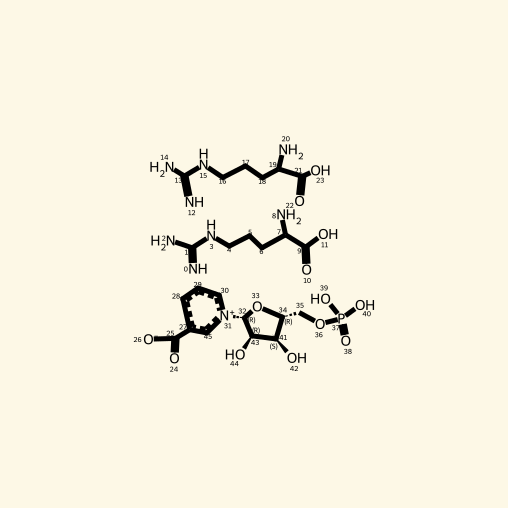 N=C(N)NCCCC(N)C(=O)O.N=C(N)NCCCC(N)C(=O)O.O=C([O-])c1ccc[n+]([C@@H]2O[C@H](COP(=O)(O)O)[C@@H](O)[C@H]2O)c1